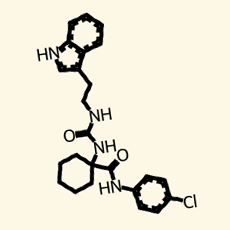 O=C(NCCc1c[nH]c2ccccc12)NC1(C(=O)Nc2ccc(Cl)cc2)CCCCC1